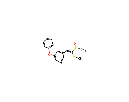 CS/C(=C\c1cccc(Oc2ccccc2)c1)[S+](C)[O-]